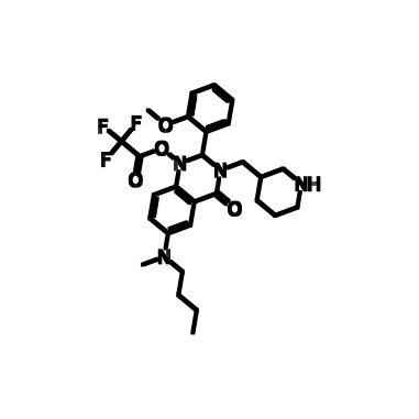 CCCCN(C)c1ccc2c(c1)C(=O)N(CC1CCCNC1)C(c1ccccc1OC)N2OC(=O)C(F)(F)F